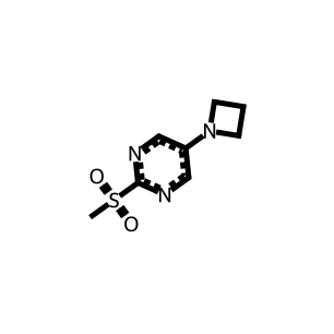 CS(=O)(=O)c1ncc(N2CCC2)cn1